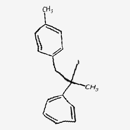 Cc1ccc(CC(C)(I)c2ccccc2)cc1